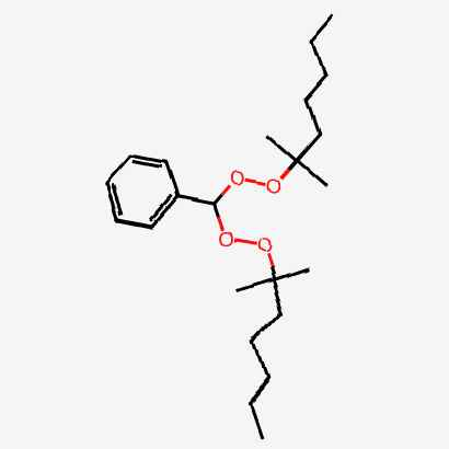 CCCCCC(C)(C)OOC(OOC(C)(C)CCCCC)c1ccccc1